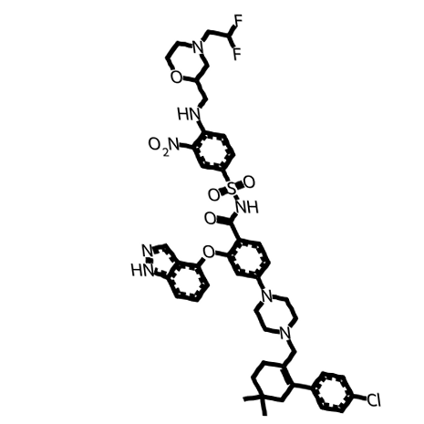 CC1(C)CCC(CN2CCN(c3ccc(C(=O)NS(=O)(=O)c4ccc(NCC5CN(CC(F)F)CCO5)c([N+](=O)[O-])c4)c(Oc4cccc5[nH]ncc45)c3)CC2)=C(c2ccc(Cl)cc2)C1